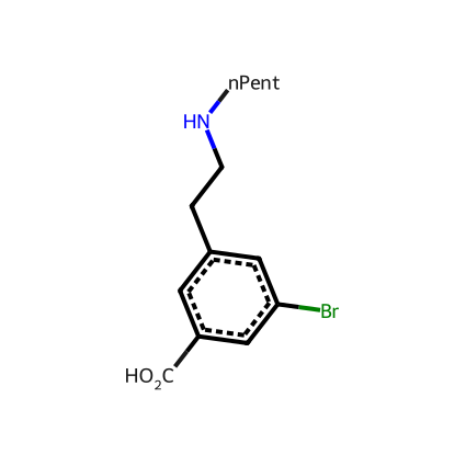 CCCCCNCCc1cc(Br)cc(C(=O)O)c1